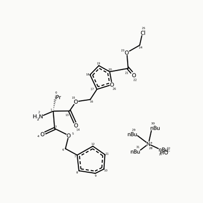 CC(C)[C@@](N)(C(=O)OCc1ccccc1)C(=O)OCc1ccc(C(=O)OCCl)o1.CCCC[N+](CCCC)(CCCC)CCCC.[OH-]